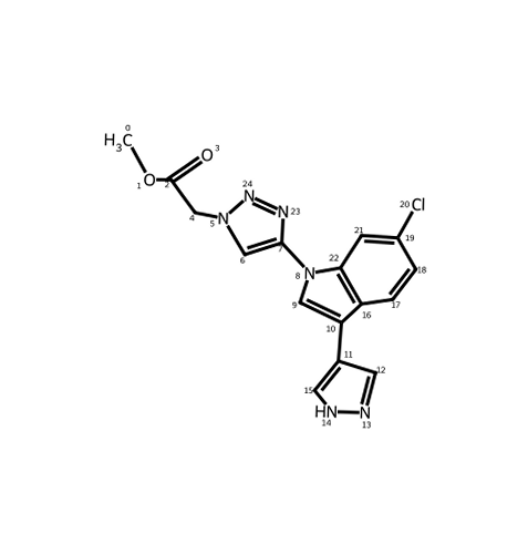 COC(=O)Cn1cc(-n2cc(-c3cn[nH]c3)c3ccc(Cl)cc32)nn1